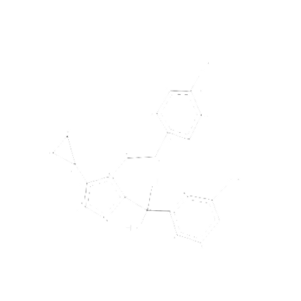 CC(C)(c1cccc(Cl)n1)c1nnc(C2CC2)n1CCc1ccc(F)cc1